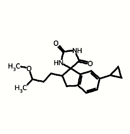 COC(C)CCC1Cc2ccc(C3CC3)cc2C12NC(=O)NC2=O